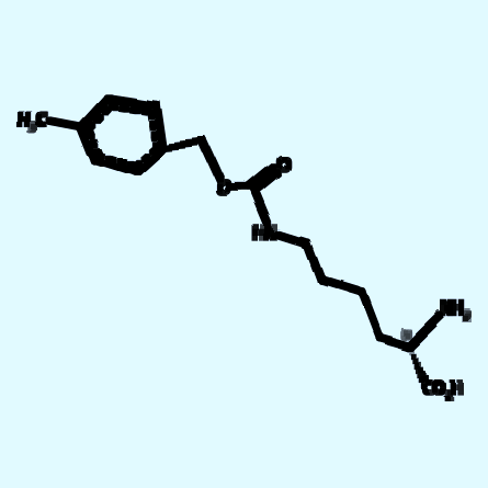 Cc1ccc(COC(=O)NCCCC[C@H](N)C(=O)O)cc1